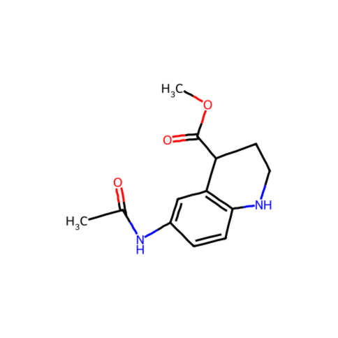 COC(=O)C1CCNc2ccc(NC(C)=O)cc21